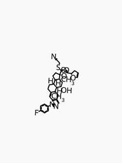 C[C@]12Cc3cnn(-c4ccc(F)cc4)c3C=C1CC[C@@H]1[C@@H]2[C@@H](O)C[C@@]2(C)[C@H]1CC[C@]2(OC(=O)C1CC=CO1)C(=O)SCC#N